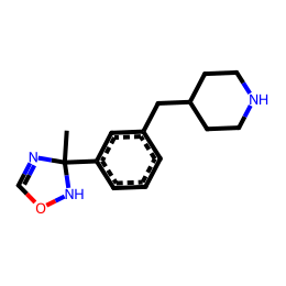 CC1(c2cccc(CC3CCNCC3)c2)N=CON1